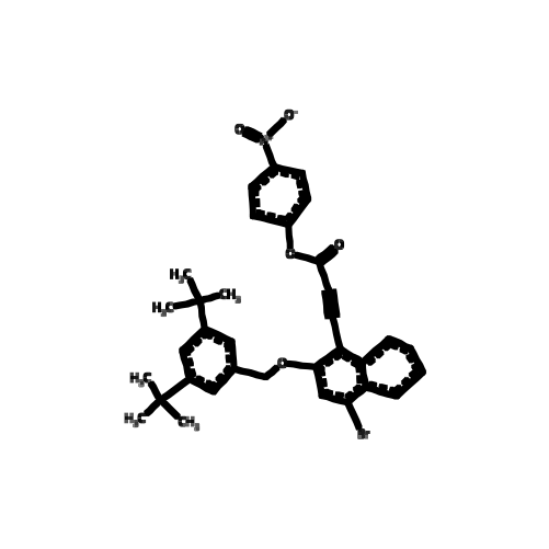 CC(C)(C)c1cc(COc2cc(Br)c3ccccc3c2C#CC(=O)Oc2ccc([N+](=O)[O-])cc2)cc(C(C)(C)C)c1